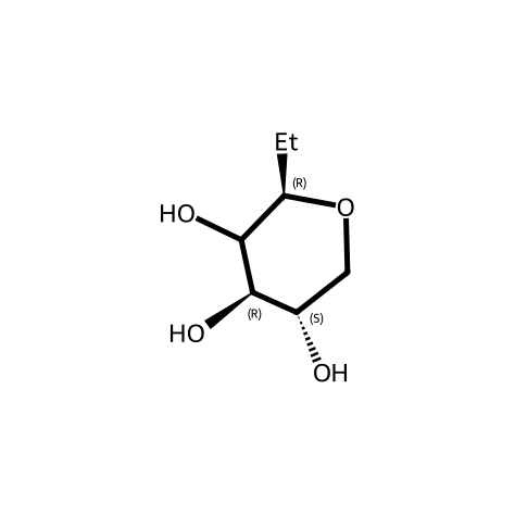 CC[C@H]1OC[C@H](O)[C@@H](O)C1O